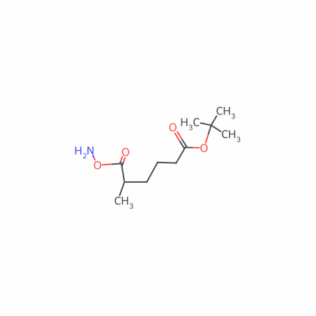 CC(CCCC(=O)OC(C)(C)C)C(=O)ON